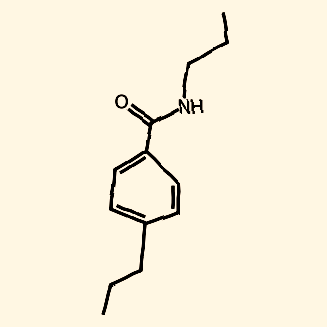 CCCNC(=O)c1ccc(CCC)cc1